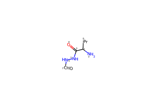 CC(C)C(N)C(=O)NNC=O